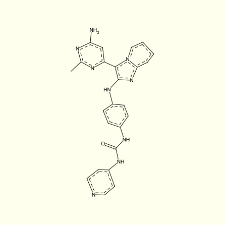 Cc1nc(N)cc(-c2c(Nc3ccc(NC(=O)Nc4ccncc4)cc3)nc3ccccn23)n1